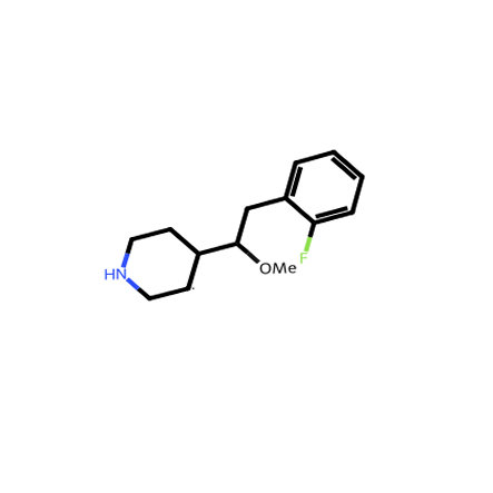 COC(Cc1ccccc1F)C1[CH]CNCC1